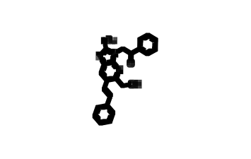 CCCCc1nc2cc(/C=C/c3ccccc3)c(CO)nc2n1CC(=O)c1ccccc1